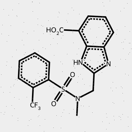 CN(Cc1nc2cccc(C(=O)O)c2[nH]1)S(=O)(=O)c1ccccc1C(F)(F)F